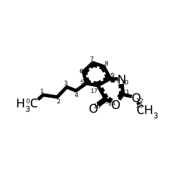 CCCCCc1cccc2nc(OC)oc(=O)c12